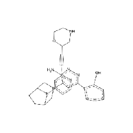 Nc1nnc(-c2ccccc2O)cc1N1CC2CCC(C1)N2c1ccnc(C#CC2CNCCO2)c1